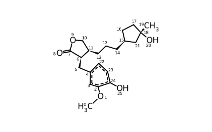 COc1cc(C[C@H]2C(=O)OC[C@H]2CCC[C@H]2CC[C@](C)(O)C2)ccc1O